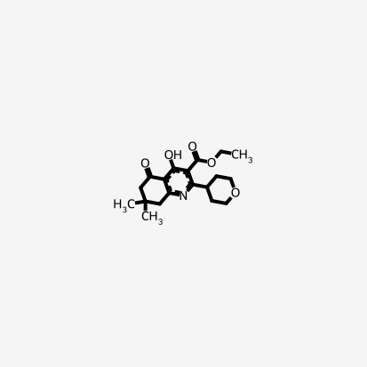 CCOC(=O)c1c(C2CCOCC2)nc2c(c1O)C(=O)CC(C)(C)C2